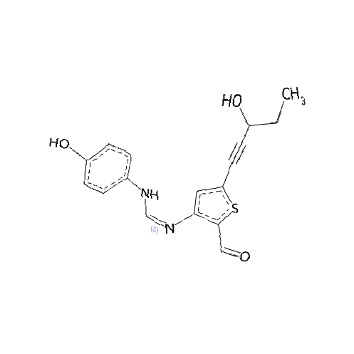 CCC(O)C#Cc1cc(/N=C\Nc2ccc(O)cc2)c(C=O)s1